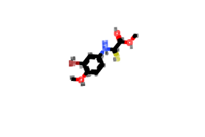 COC(=O)C(=S)Nc1ccc(OC)c(Br)c1